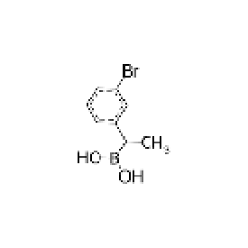 CC(B(O)O)c1cccc(Br)c1